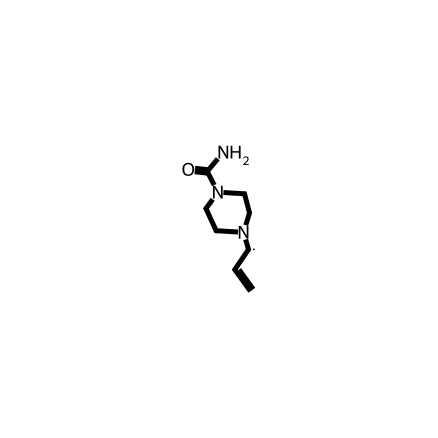 C=C[CH]N1CCN(C(N)=O)CC1